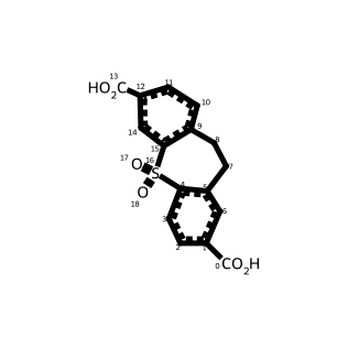 O=C(O)c1ccc2c(c1)CCc1ccc(C(=O)O)cc1S2(=O)=O